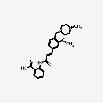 COc1cc(/C=C/C(=O)Nc2ccccc2C(=O)O)ccc1CN1CCN(C)CC1